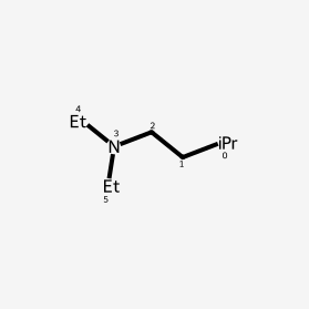 [CH2]C(C)CCN(CC)CC